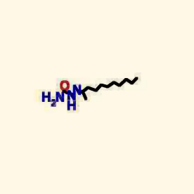 CCCCCCCCC/C(C)=N/NC(N)=O